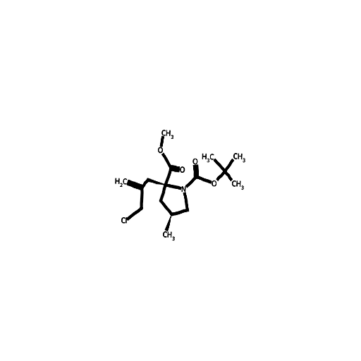 C=C(CCl)C[C@]1(C(=O)OC)C[C@H](C)CN1C(=O)OC(C)(C)C